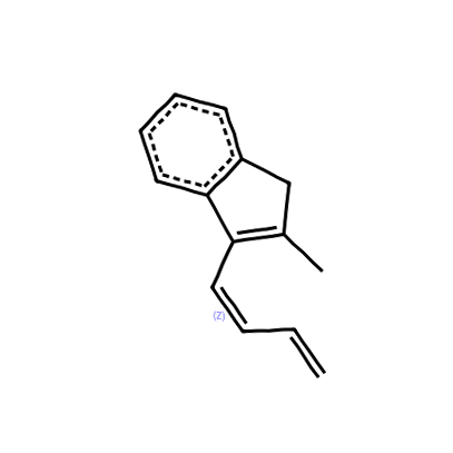 C=C/C=C\C1=C(C)Cc2ccccc21